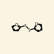 c1coc(SSc2ccco2)c1